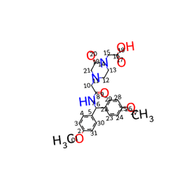 COc1ccc(C(NC(=O)CN2CCN(CC(=O)O)C(=O)C2)c2ccc(OC)cc2)cc1